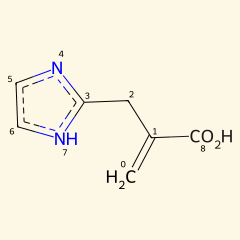 C=C(Cc1ncc[nH]1)C(=O)O